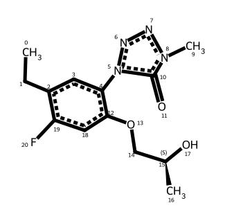 CCc1cc(-n2nnn(C)c2=O)c(OC[C@H](C)O)cc1F